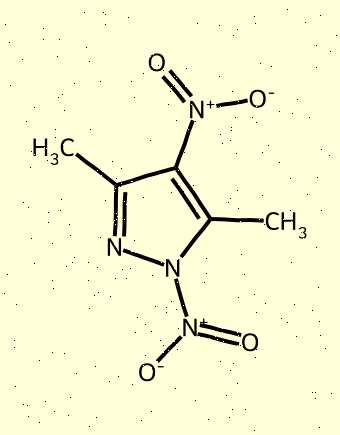 Cc1nn([N+](=O)[O-])c(C)c1[N+](=O)[O-]